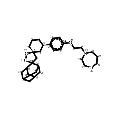 c1cc([C@@H]2CCC[C@@]3(C2)CC2(OO3)C3CC4CC(C3)CC2C4)ccc1OCCN1CCCOCC1